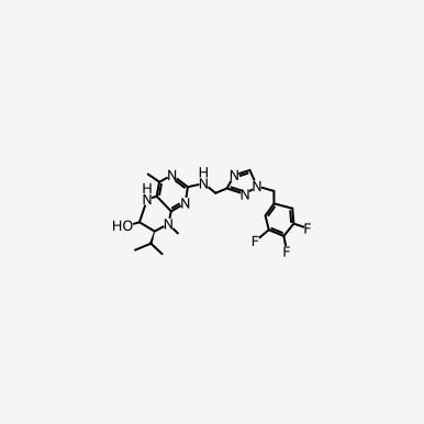 Cc1nc(NCc2ncn(Cc3cc(F)c(F)c(F)c3)n2)nc2c1NC(O)[C@H](C(C)C)N2C